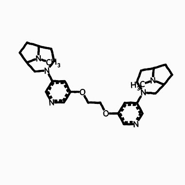 CN1C2CCC1CN(c1cncc(OCCOc3cncc(N4CCC5CCC(C4)N5C)c3)c1)CC2